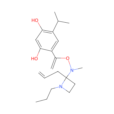 C=CCC1(N(C)OC(=C)c2cc(C(C)C)c(O)cc2O)CCN1CCC